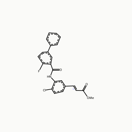 COC(=O)/C=C/c1ccc(Cl)c(NC(=O)c2cc(-c3ccccc3)ccc2F)c1